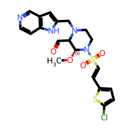 CO[C@H]1C(C=O)N(Cc2cc3cnccc3[nH]2)CCN1S(=O)(=O)C=Cc1ccc(Cl)s1